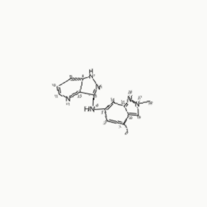 Cc1cc(Nc2n[nH]c3cccnc23)cc2nn(C)cc12